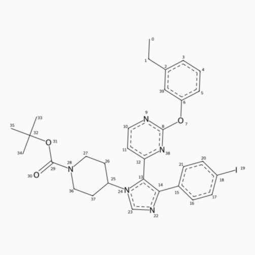 CCc1cccc(Oc2nccc(-c3c(-c4ccc(I)cc4)ncn3C3CCN(C(=O)OC(C)(C)C)CC3)n2)c1